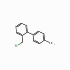 Cc1ccc(-c2ccccc2CBr)cc1